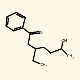 CCC(CCC(C)O)CC(=O)c1ccccc1